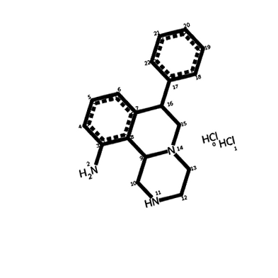 Cl.Cl.Nc1cccc2c1C1CNCCN1CC2c1ccccc1